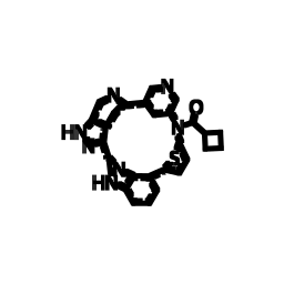 O=C(C1CCC1)n1c2cncc(c2)c2cc3c(cn2)[nH]nc3c2nc3c(cccc3c3ccc1s3)[nH]2